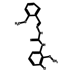 COc1ccccc1/C=N/NC(=S)Nc1cccc(Cl)c1OC